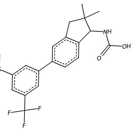 CSc1cc(-c2ccc3c(c2)CC(C)(C)C3NC(=O)O)cc(C(F)(F)F)c1